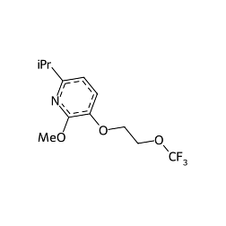 COc1nc(C(C)C)ccc1OCCOC(F)(F)F